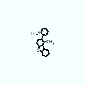 Cc1c(-c2cccc[n+]2C)ccc2sc3ccccc3c12